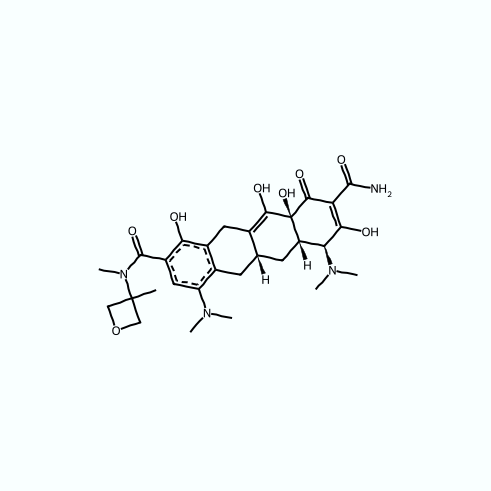 CN(C)c1cc(C(=O)N(C)C2(C)COC2)c(O)c2c1C[C@H]1C[C@H]3[C@H](N(C)C)C(O)=C(C(N)=O)C(=O)[C@@]3(O)C(O)=C1C2